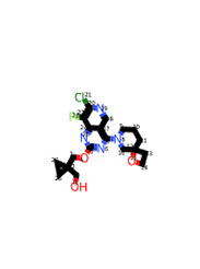 OCC1(COc2nc(N3CCCC4(CCO4)C3)c3cnc(Cl)c(F)c3n2)CC1